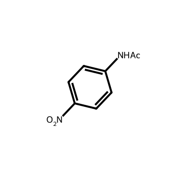 [CH2]C(=O)Nc1ccc([N+](=O)[O-])cc1